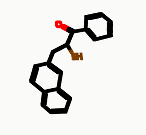 O=C(c1ccccc1)C(S)Cc1ccc2ccccc2c1